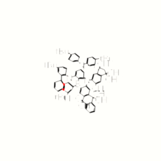 Cc1cc2c(cc1N1c3cc4c(cc3B3c5cc(C(C)(C)C)ccc5N(c5ccc(C(C)(C)C)cc5-c5ccccc5)c5cc(N(c6ccc(C(C)(C)C)cc6)c6ccc(C(C)(C)C)cc6)cc1c53)C(C)(C)c1ccccc1C4(C)C)C(C)(C)CC2(C)C